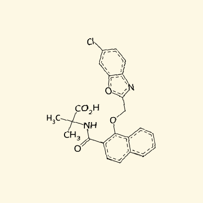 CC(C)(NC(=O)c1ccc2ccccc2c1OCc1nc2ccc(Cl)cc2o1)C(=O)O